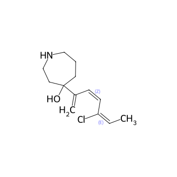 C=C(/C=C\C(Cl)=C/C)C1(O)CCCNCC1